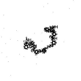 CN[C@@H](C)C(=O)N[C@H](C(=O)N1CCC[C@H]1c1ncc(C(=O)c2cccc(OCc3cn(CCCCCOc4cccc(CNC(=O)c5cccc(NCC(=N)N(C)C(=N)c6ccncn6)c5)c4)nn3)c2)s1)C1CCCCC1